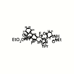 CCCc1nn(-c2cc(NC(=O)CC)ccc2C(F)(F)F)c(=O)n1Cc1ccc(-c2ccccc2S(=O)(=O)NC(=O)OCC)cc1F